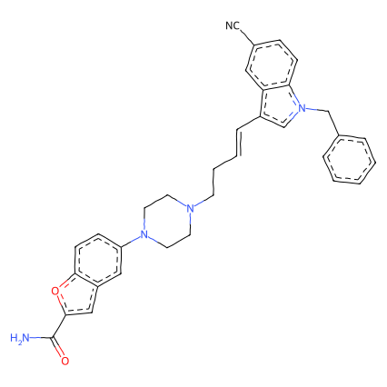 N#Cc1ccc2c(c1)c(C=CCCN1CCN(c3ccc4oc(C(N)=O)cc4c3)CC1)cn2Cc1ccccc1